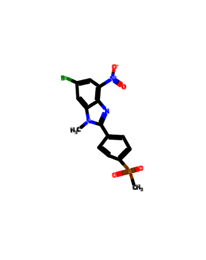 Cn1c(-c2ccc(S(C)(=O)=O)cc2)nc2c([N+](=O)[O-])cc(Br)cc21